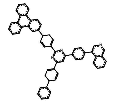 C1=CC(c2ccccc2)CC=C1c1cc(-c2ccc(-c3cncc4ccccc34)cc2)nc(C2=CCC(c3ccc4c5ccccc5c5ccccc5c4c3)C=C2)n1